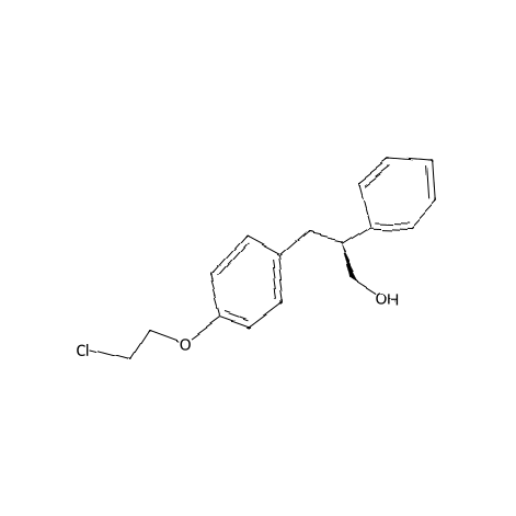 OC[C@@H](Cc1ccc(OCCCl)cc1)c1ccccc1